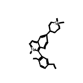 CCc1ccc(C)c(-c2c3ccc(C4CC[Si](C)(C)CC4)cc3cc[n+]2C)c1